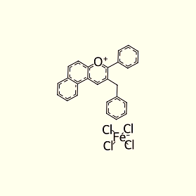 [Cl][Fe-]([Cl])([Cl])[Cl].c1ccc(Cc2cc3c(ccc4ccccc43)[o+]c2-c2ccccc2)cc1